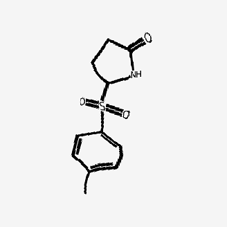 Cc1ccc(S(=O)(=O)C2CCC(=O)N2)cc1